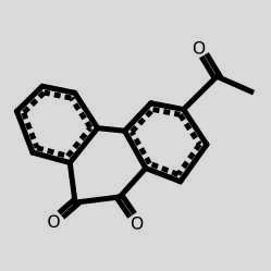 CC(=O)c1ccc2c(c1)-c1ccccc1C(=O)C2=O